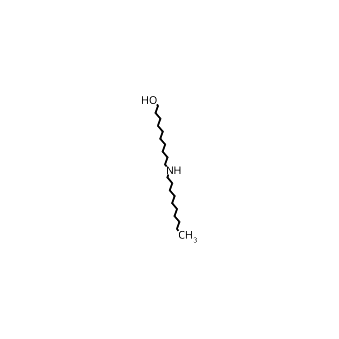 CCCCCCCCCCNCCCCCCCCCCO